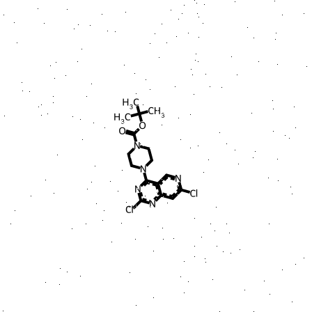 CC(C)(C)OC(=O)N1CCN(c2nc(Cl)nc3cc(Cl)ncc23)CC1